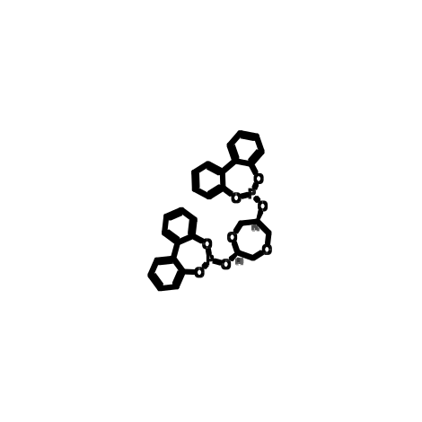 c1ccc2c(c1)op(O[C@H]1COC[C@@H](Op3oc4ccccc4c4ccccc4o3)OC1)oc1ccccc12